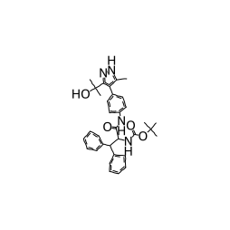 Cc1[nH]nc(C(C)(C)O)c1-c1ccc(NC(=O)C(NC(=O)OC(C)(C)C)C(c2ccccc2)c2ccccc2)cc1